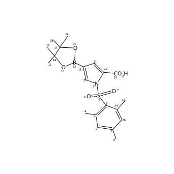 Cc1cc(C)c(S(=O)(=O)n2cc(B3OC(C)(C)C(C)(C)O3)cc2C(=O)O)c(C)c1